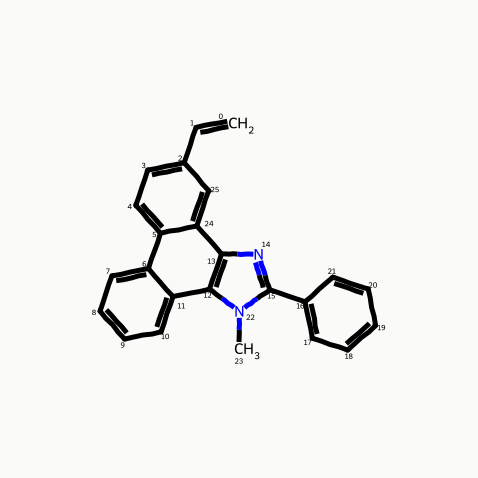 C=Cc1ccc2c3ccccc3c3c(nc(-c4ccccc4)n3C)c2c1